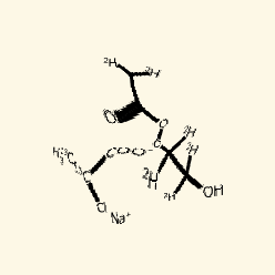 [13CH3][13CH](Cl)[13C](=O)[O-].[2H]C([2H])C(=O)OOC([2H])([2H])C([2H])([2H])O.[Na+]